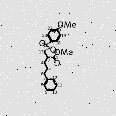 COC(=O)C(CCCc1ccccc1)CS(=O)(=O)c1ccc(OC)cc1